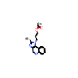 CCCCC(=O)OCCCn1c(CCCC)nc2cnc3ccccc3c21